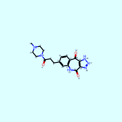 CN1CCN(C(=O)CCc2ccc3c(=O)c4[nH]nnc4c(=O)[nH]c3c2)CC1